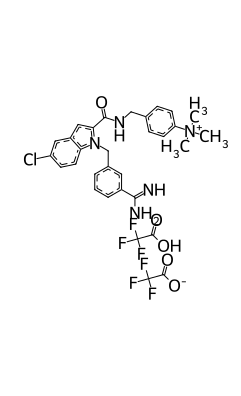 C[N+](C)(C)c1ccc(CNC(=O)c2cc3cc(Cl)ccc3n2Cc2cccc(C(=N)N)c2)cc1.O=C(O)C(F)(F)F.O=C([O-])C(F)(F)F